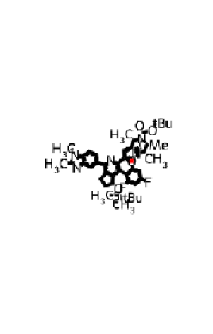 COCCOc1cc(F)cc(F)c1-c1c(-c2cc3n(n2)[C@@H](C)CN(C(=O)OC(C)(C)C)[C@@H]3C)nc(-c2ccc3c(c2)nc(C)n3C)c2c1C(O[Si](C)(C)C(C)(C)C)CC2